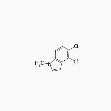 Cn1ccc2c(Cl)c(Cl)ccc21